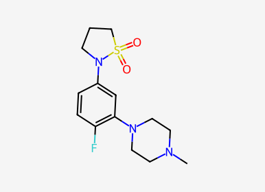 CN1CCN(c2cc(N3CCCS3(=O)=O)ccc2F)CC1